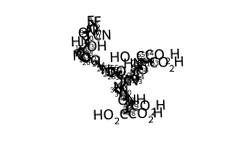 N#C[C@@H]1CC(F)(F)CN1C(=O)CNC(O)c1ccnc2ccc(OCCCN3CCN(C(=O)CN(Cc4nccn4CC(=O)N[C@@H](CC(C(=O)O)C(=O)O)C(=O)O)Cc4nccn4CC(=O)N[C@@H](CC(C(=O)O)C(=O)O)C(=O)O)CC3)cc12